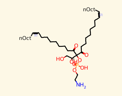 CCCCCCCC/C=C\CCCCCCCC(=O)C(OP(=O)(O)OCCN)(C(=O)CCCCCCC/C=C\CCCCCCCC)[C@@H](O)CO